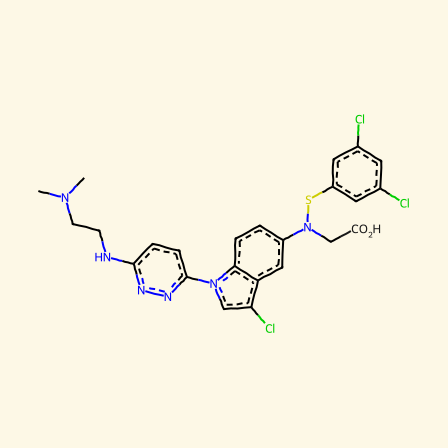 CN(C)CCNc1ccc(-n2cc(Cl)c3cc(N(CC(=O)O)Sc4cc(Cl)cc(Cl)c4)ccc32)nn1